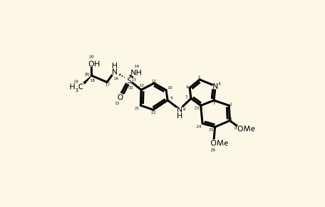 COc1cc2nccc(Nc3ccc([S@](=N)(=O)NC[C@@H](C)O)cc3)c2cc1OC